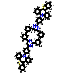 c1ccc(-c2cc(-c3cccc(-c4cccc(-c5cc(-c6ccc(N7c8ccccc8-c8sc9ccccc9c8-c8ccccc87)cc6)nc(-c6ccccc6)n5)c4)c3)nc(-c3ccc(N4c5ccccc5-c5sc6ccccc6c5-c5ccccc54)cc3)n2)cc1